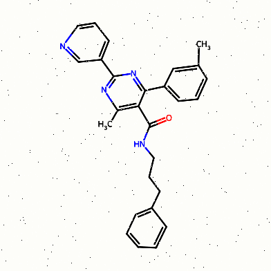 Cc1cccc(-c2nc(-c3cccnc3)nc(C)c2C(=O)NCCCc2ccccc2)c1